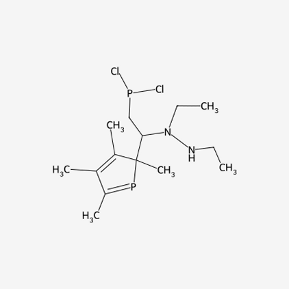 CCNN(CC)C(CP(Cl)Cl)C1(C)P=C(C)C(C)=C1C